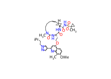 COc1ccc2c(OCC[C@@H]3NC(=O)N(C)CCCCC=C[C@@H]4C[C@@]4(C(=O)NS(=O)(=O)C4(C)CC4)NC3=O)cc(-c3cnn(CCC(C)C)c3)nc2c1C